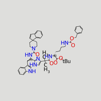 CC(C)(C)OC(=O)[C@@H](CCCCNC(=O)OCc1ccccc1)NC(=O)C(C)(C)c1c[nH]c([C@@H](Cc2c[nH]c3ccccc23)NC(=O)N2CCC3(C=Cc4ccccc43)CC2)n1